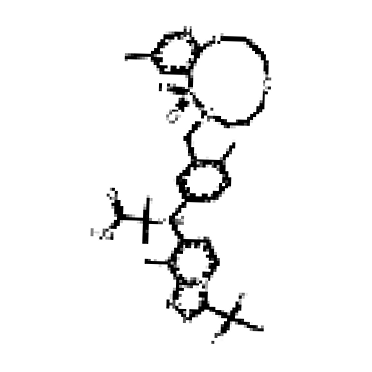 Cc1cnc2c(c1)S(=O)(=O)N(Cc1cc([C@@H](c3ccn4c(C(F)(F)F)nnc4c3C)C(C)(C)C(=O)O)ccc1C)CCCOCCO2